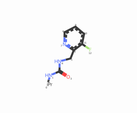 CC(C)NC(=O)NCc1ncccc1F